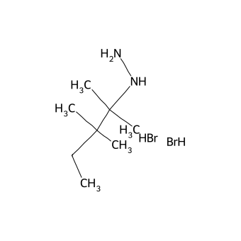 Br.Br.CCC(C)(C)C(C)(C)NN